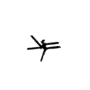 CCCCCCCCCCCCCCCCSc1cc2c3cc(SCCCCCCCCCCCCCCCC)c(SCCCCCCCCCCCCCCCC)cc3c3cc(SCC(C)CCC)c(SCCCCCCCCCCCCCCCC)cc3c2cc1SCCCCCCCCCCCCCCCC